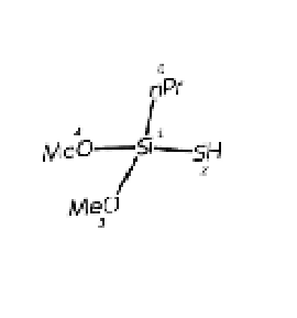 CCC[Si](S)(OC)OC